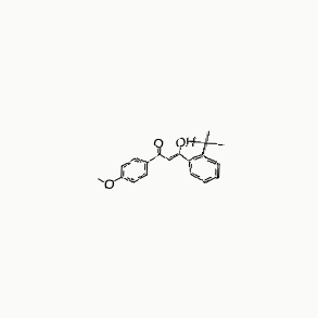 COc1ccc(C(=O)C=C(O)c2ccccc2C(C)(C)C)cc1